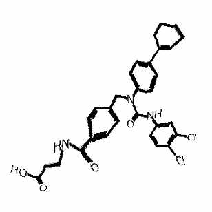 O=C(O)CCNC(=O)c1ccc(CN(C(=O)Nc2ccc(Cl)c(Cl)c2)c2ccc(C3=CCCCC3)cc2)cc1